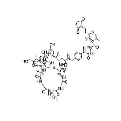 CC[C@H](C)[C@@H]1NC(=O)CNC(=O)[C@H]2Cc3c([nH]c4ccccc34)SC[C@H](NC(=O)CNC1=O)C(=O)NC(CC(=O)NCc1ccc(NC(=O)[C@H](C)NC(=O)[C@@H](NC(=O)CCN3C(=O)C=CC3=O)C(C)C)cc1)C(=O)N1C[C@H](O)C[C@H]1C(=O)N[C@@H]([C@@H](C)[C@@H](O)CO)C(=O)N2